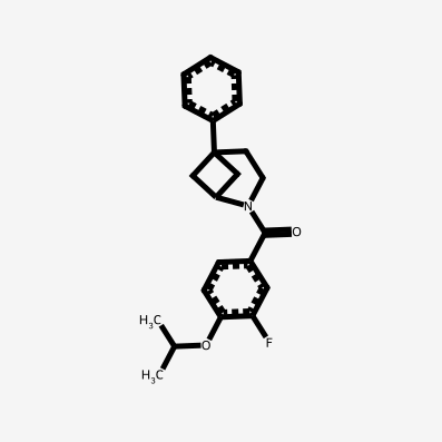 CC(C)Oc1ccc(C(=O)N2CCC3(c4ccccc4)CC2C3)cc1F